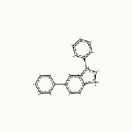 c1ccc(-c2ccc3[nH]nc(-c4ccccc4)c3c2)cc1